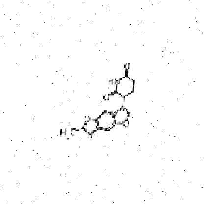 Cc1nc2cc3occ(C4CCC(=O)NC4=O)c3cc2o1